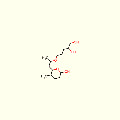 CC(CC1OC(O)CC[C@H]1C)OCCCC(O)CO